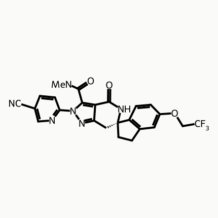 CNC(=O)c1c2c(nn1-c1ccc(C#N)cn1)C[C@]1(CCc3cc(OCC(F)(F)F)ccc31)NC2=O